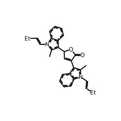 CCC=Cn1c(C)c(C2=CC(c3c(C)n(C=CCC)c4ccccc34)OC2=O)c2ccccc21